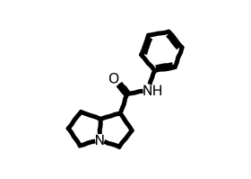 O=C(Nc1ccccc1)C1CCN2CCCC12